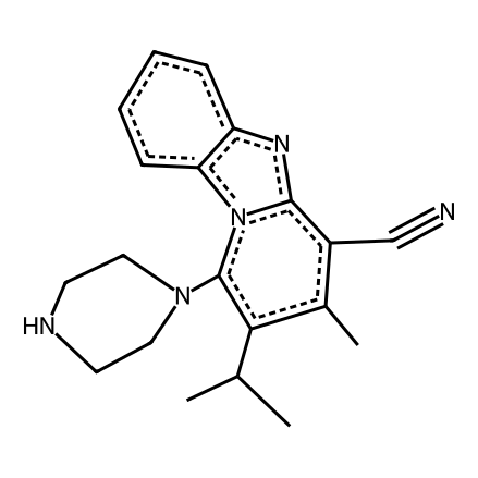 Cc1c(C(C)C)c(N2CCNCC2)n2c(nc3ccccc32)c1C#N